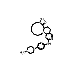 CN1CCN(c2ccc(Nc3ncc4c(n3)N3CCCCCCCN(N)C(=O)C3CC4)nc2)CC1